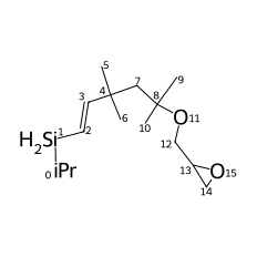 CC(C)[SiH2]C=CC(C)(C)CC(C)(C)OCC1CO1